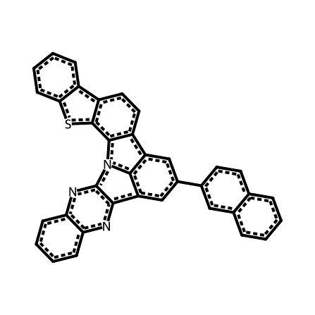 c1ccc2cc(-c3cc4c5ccc6c7ccccc7sc6c5n5c6nc7ccccc7nc6c(c3)c45)ccc2c1